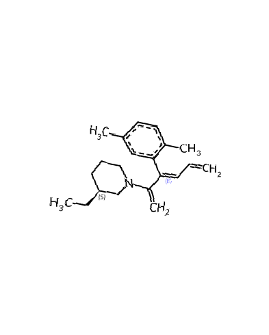 C=C/C=C(/C(=C)N1CCC[C@H](CC)C1)c1cc(C)ccc1C